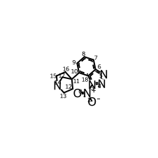 O=[N+]([O-])n1nnc2cccc(C34CCN(CC3)C4)c21